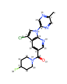 Cc1cnc(-n2cc(Cl)c3cc(C(=O)N4CCC(F)CC4)cnc32)cn1